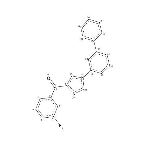 O=C(c1cccc(F)c1)c1cn(-c2cccc(-c3ccccc3)c2)cn1